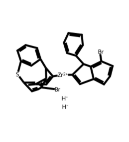 Brc1cccc2c1C(c1ccccc1)[C]([Zr+2][C]1=Cc3c4ccc(Br)c3C1c1cccc(c1)S4)=C2.[H-].[H-]